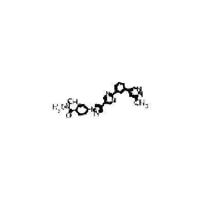 Cc1cc(-c2cccc(-c3ncc(-c4cnn([C@H]5CC[C@H](C(=O)N(C)C)CC5)c4)cn3)c2)cnn1